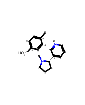 CN1CCC[C@H]1c1cccnc1.Cc1ccc(S(=O)(=O)O)cc1